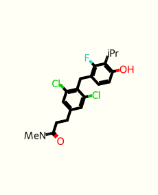 CNC(=O)CCc1cc(Cl)c(Cc2ccc(O)c(C(C)C)c2F)c(Cl)c1